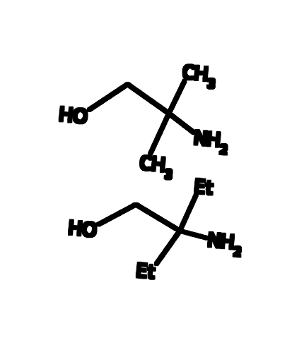 CC(C)(N)CO.CCC(N)(CC)CO